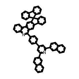 c1ccc2c(c1)-c1ccccc1C21c2ccccc2-c2cc3c(-c4ccc(-c5cc(-c6ccc7ccccc7c6)nc(-c6ccc7ccccc7c6)c5)cc4)nc4ccccc4c3cc21